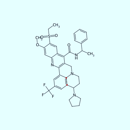 CCS(=O)(=O)c1cc2c(C(=O)NC(C)c3ccccc3)c(CN3CCC(N4CCCC4)CC3)c(-c3cccc(C(F)(F)F)c3)nc2cc1OC